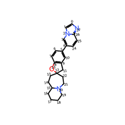 c1cn2cc(-c3ccc4c(c3)CC3(CCC5CCCCN5CC3)O4)ccc2n1